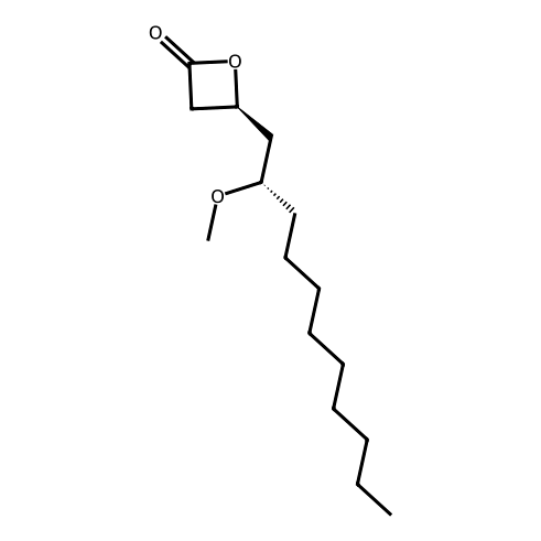 CCCCCCCCC[C@@H](C[C@H]1CC(=O)O1)OC